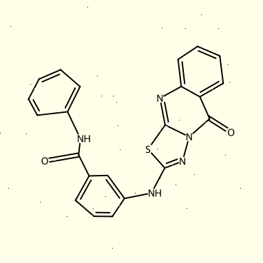 O=C(Nc1ccccc1)c1cccc(Nc2nn3c(=O)c4ccccc4nc3s2)c1